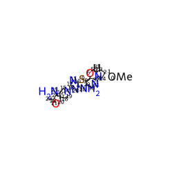 COC[C@H]1C[C@H]2COc3c(Sc4ncc(N5CCC6(CC5)CO[C@@H](C)[C@H]6N)nc4N)ccnc3N2C1